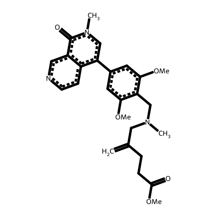 C=C(CCC(=O)OC)CN(C)Cc1c(OC)cc(-c2cn(C)c(=O)c3cnccc23)cc1OC